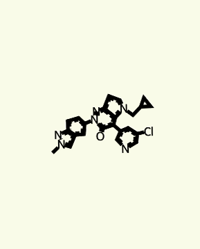 Cn1cc2cc(-n3nc4ccn(CC5CC5)c4c(-c4cncc(Cl)c4)c3=O)ccc2n1